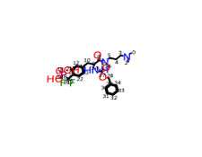 CN(C)CCCNC(=O)C(Cc1ccc(C(F)(F)P(=O)(O)O)cc1)NC(=O)OCc1ccccc1